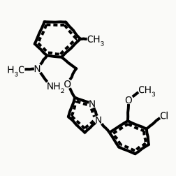 COc1c(Cl)cccc1-n1ccc(OCc2c(C)cccc2N(C)N)n1